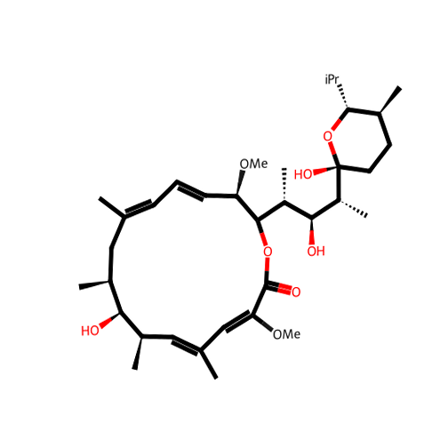 CO/C1=C\C(C)=C\[C@@H](C)[C@@H](O)[C@@H](C)C/C(C)=C/C=C/[C@@H](OC)C([C@H](C)[C@H](O)[C@@H](C)[C@@]2(O)CC[C@H](C)[C@@H](C(C)C)O2)OC1=O